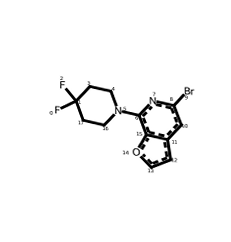 FC1(F)CCN(c2nc(Br)cc3ccoc23)CC1